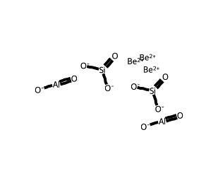 O=[Si]([O-])[O-].O=[Si]([O-])[O-].[Be+2].[Be+2].[Be+2].[O]=[Al][O-].[O]=[Al][O-]